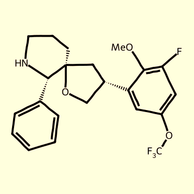 COc1c(F)cc(OC(F)(F)F)cc1[C@@H]1CO[C@]2(CCCN[C@H]2c2ccccc2)C1